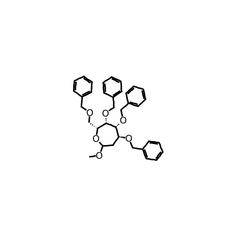 COC1C[C@H](OCc2ccccc2)[C@@H](OCc2ccccc2)[C@@H](OCc2ccccc2)[C@@H](COCc2ccccc2)O1